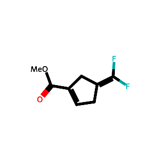 COC(=O)C1=CCC(=C(F)F)C1